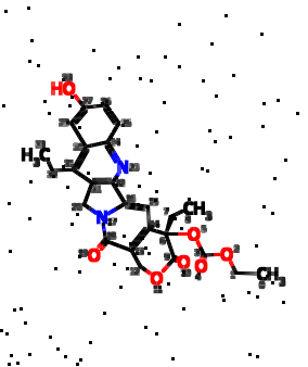 CCOC(=O)O[C@]1(CC)C(=O)OCc2c1cc1n(c2=O)Cc2c-1nc1ccc(O)cc1c2CC